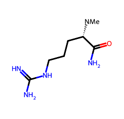 CN[C@@H](CCCNC(=N)N)C(N)=O